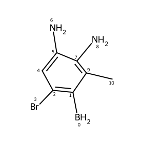 Bc1c(Br)cc(N)c(N)c1C